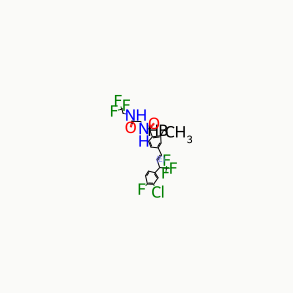 CBc1cc(/C=C/C(c2ccc(F)c(Cl)c2)C(F)(F)F)ccc1C(=O)NCC(=O)NCC(F)(F)F